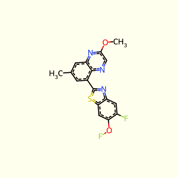 COc1cnc2c(-c3nc4cc(F)c(OF)cc4s3)cc(C)cc2n1